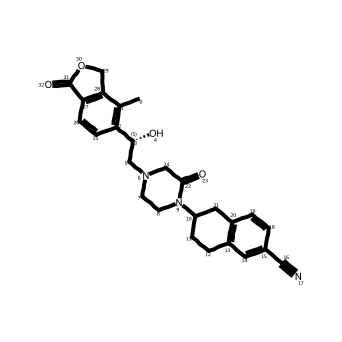 Cc1c([C@H](O)CN2CCN(C3CCc4cc(C#N)ccc4C3)C(=O)C2)ccc2c1COC2=O